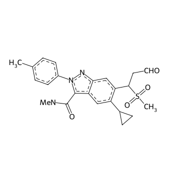 CNC(=O)c1c2cc(C3CC3)c(C(CC=O)S(C)(=O)=O)cc2nn1-c1ccc(C)cc1